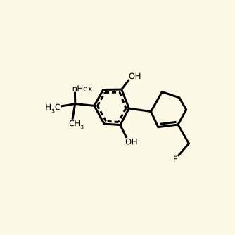 CCCCCCC(C)(C)c1cc(O)c(C2C=C(CF)CCC2)c(O)c1